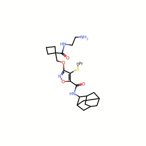 CCCSc1c(OCC2(C(=O)NCCN)CCC2)noc1C(=O)NC1C2CC3CC(C2)CC1C3